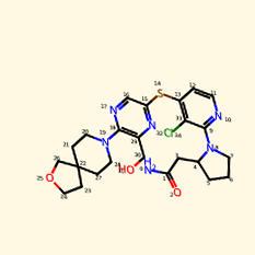 NC(=O)CC1CCCN1c1nccc(Sc2cnc(N3CCC4(CCOC4)CC3)c(CO)n2)c1Cl